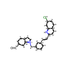 O=Cc1ccc2ccn(Cc3cccc(C=Cc4ccc5ccc(Cl)cc5n4)c3)c2c1